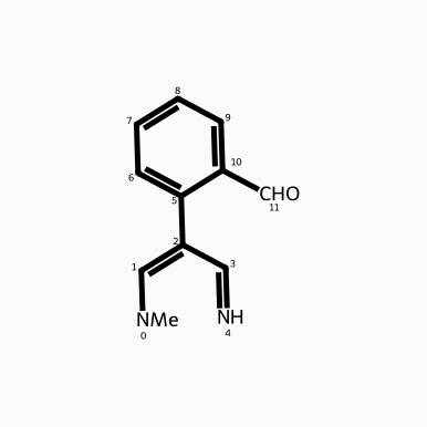 CN/C=C(\C=N)c1ccccc1C=O